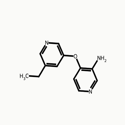 CCc1cncc(Oc2ccncc2N)c1